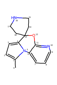 Cc1ccc2n1-c1cccnc1OC21CCNCC1